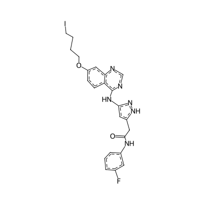 O=C(Cc1cc(Nc2ncnc3cc(OCCCCI)ccc23)n[nH]1)Nc1cccc(F)c1